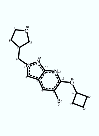 Brc1cc2cn(CC3CCOC3)nc2nc1OC1CCC1